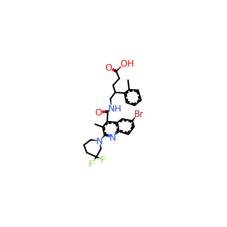 Cc1ccccc1C(CCC(=O)O)CNC(=O)c1c(C)c(N2CCCC(F)(F)C2)nc2ccc(Br)cc12